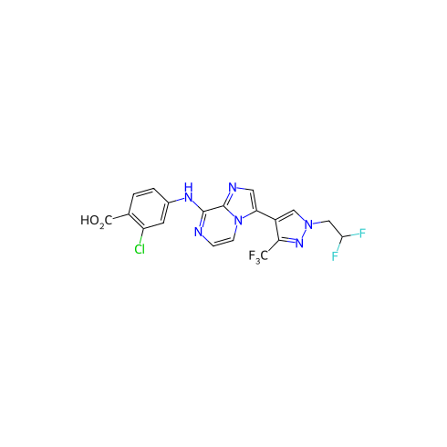 O=C(O)c1ccc(Nc2nccn3c(-c4cn(CC(F)F)nc4C(F)(F)F)cnc23)cc1Cl